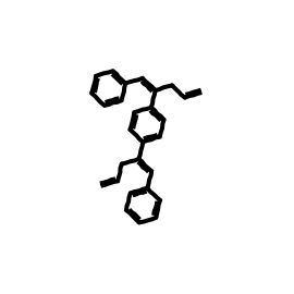 C=CCC(=Cc1ccccc1)c1ccc(C(=Cc2ccccc2)CC=C)cc1